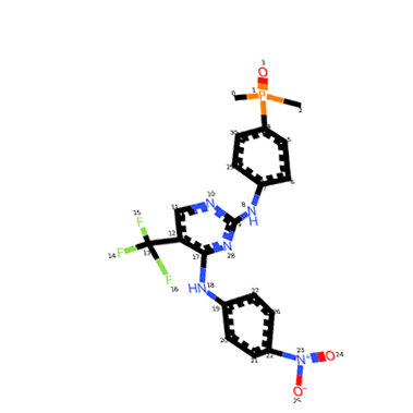 CP(C)(=O)c1ccc(Nc2ncc(C(F)(F)F)c(Nc3ccc([N+](=O)[O-])cc3)n2)cc1